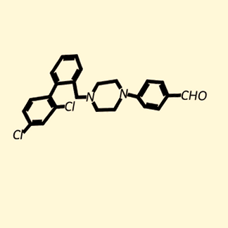 O=Cc1ccc(N2CCN(Cc3ccccc3-c3ccc(Cl)cc3Cl)CC2)cc1